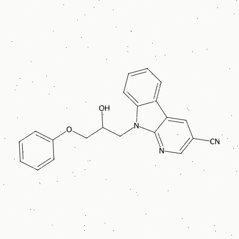 N#Cc1cnc2c(c1)c1ccccc1n2CC(O)COc1ccccc1